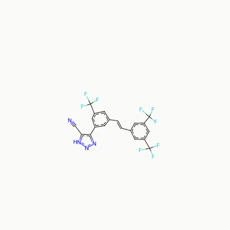 N#Cc1[nH]nnc1-c1cc(/C=C/c2cc(C(F)(F)F)cc(C(F)(F)F)c2)cc(C(F)(F)F)c1